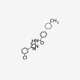 C[C@H]1CC[C@H](c2ccc(C(=O)Nc3nnc(-c4cccc(Cl)c4)s3)cc2)CC1